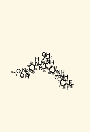 CCOC(=O)N=[SH](=O)c1ccc(Nc2ncc(-c3ccc(NC(=O)Nc4cccc(C(F)(F)F)c4)cc3)c(NC(C)CO)n2)cc1